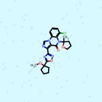 COC1(c2nc(-c3ncn4c3c(=O)n(C3(C)CCCO3)c3c(Cl)cccc34)no2)CCCC1